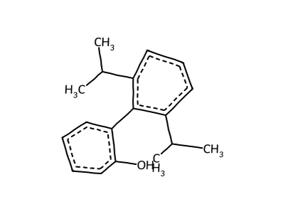 CC(C)c1cccc(C(C)C)c1-c1ccccc1O